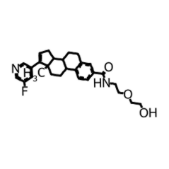 CC12CCC3c4ccc(C(=O)NCCOCCO)cc4CCC3C1CC=C2c1cncc(F)c1